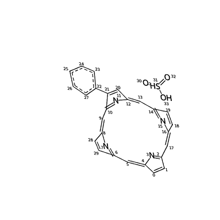 C1=CC2=NC1=CC1=NC(=CC3=NC(=CC4=NC(=C2)C=C4)C=C3c2ccccc2)C=C1.O=[SH](=O)O